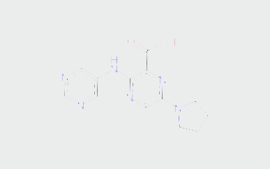 O=C(O)c1nc(N2CCCC2)cnc1Nc1cncnc1